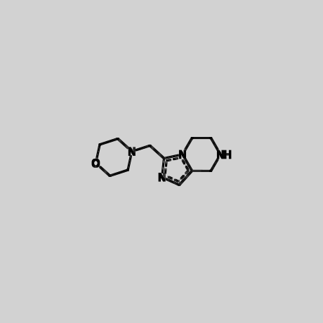 c1nc(CN2CCOCC2)n2c1CNCC2